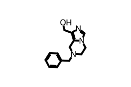 OCc1ncn2c1CN(Cc1ccccc1)CC2